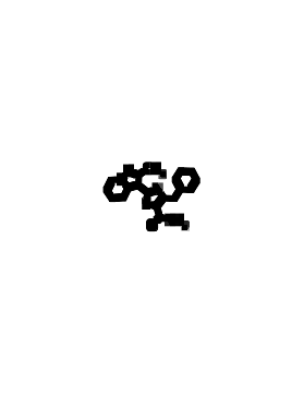 Cc1nn2ccccc2c1-c1nc(Cc2ccccc2)c(C(N)=O)s1